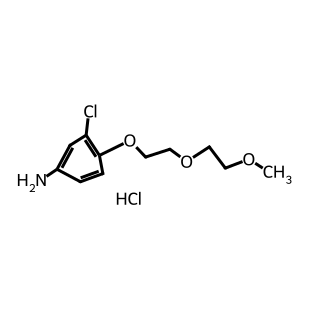 COCCOCCOc1ccc(N)cc1Cl.Cl